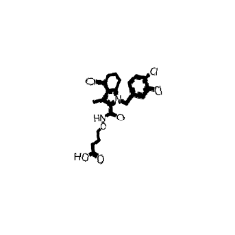 Cc1c2c(n(Cc3ccc(Cl)c(Cl)c3)c1C(=O)NOCCCC(=O)O)CCCC2=O